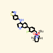 CC(C)(C)OC(=O)N1[C@@H]2CC[C@H]1CN(Cc1ccc(-c3ccc4c(Nc5ccc6scnc6c5)ccnc4c3)c(F)c1)C2